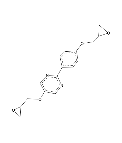 c1cc(-c2ncc(OCC3CO3)cn2)ccc1OCC1CO1